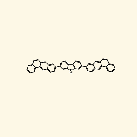 c1ccc2c(c1)ccc1cc3cc(-c4ccc5c(c4)sc4cc(-c6ccc7cc8c(ccc9ccccc98)cc7c6)ccc45)ccc3cc12